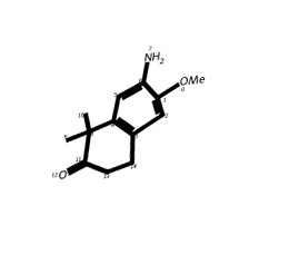 COc1cc2c(cc1N)C(C)(C)C(=O)CC2